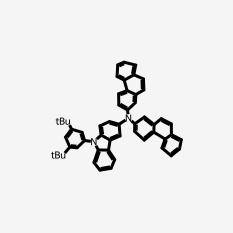 CC(C)(C)c1cc(-n2c3ccccc3c3cc(N(c4ccc5c(ccc6ccccc65)c4)c4ccc5c(ccc6ccccc65)c4)ccc32)cc(C(C)(C)C)c1